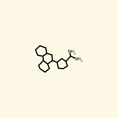 NC(N)C1CCCC(C2CC3CCCCC3C3CCCCC23)C1